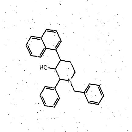 OC1C(c2cccc3ccccc23)CCN(Cc2ccccc2)C1c1ccccc1